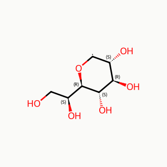 OC[C@H](O)[C@H]1O[CH][C@H](O)[C@@H](O)[C@@H]1O